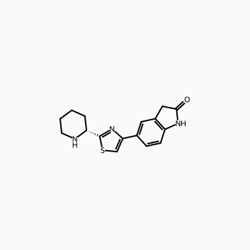 O=C1Cc2cc(-c3csc([C@H]4CCCCN4)n3)ccc2N1